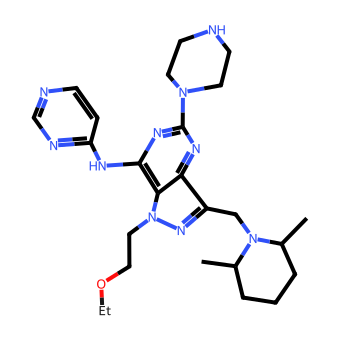 CCOCCn1nc(CN2C(C)CCCC2C)c2nc(N3CCNCC3)nc(Nc3ccncn3)c21